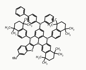 CC(C)(C)c1ccc2c3c(sc2c1)B1c2cc4c(cc2N(c2ccc5c(c2)C(C)(C)CCC5(C)C)c2cc(N(c5ccccc5)c5ccc(-c6ccccc6)cc5)cc(c21)N3c1ccc2c(c1)C(C)(C)CCC2(C)C)C(C)(C)CCC4(C)C